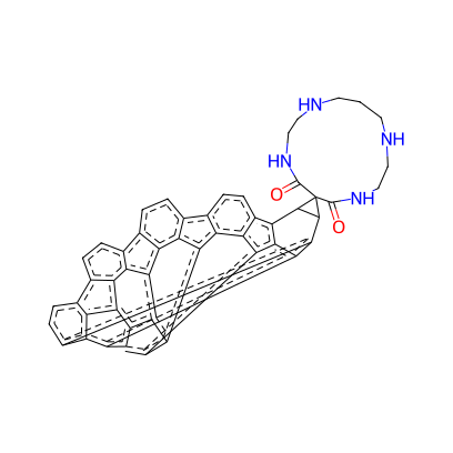 O=C1NCCNCCCNCCNC(=O)C12C1c3c4ccc5c6ccc7c8ccc9c%10ccc%11c(c%12c3c3c4c5c4c6c7c5c8c9c6c%10c%11c%12c7c3c4c5c67)C12